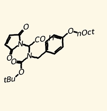 CCCCCCCCOc1ccc(CN(C(=O)OC(C)(C)C)C(C(=O)O)N2C(=O)C=CC2=O)cc1